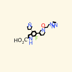 CN1CC[C@@H](c2cc(C3=CCCN(C(=O)CCn4ccnn4)C3)c(F)c3[nH]c(C(=O)O)cc23)C1